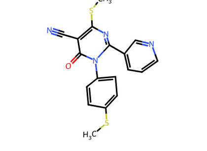 CSc1ccc(-n2c(-c3cccnc3)nc(SC)c(C#N)c2=O)cc1